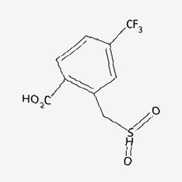 O=C(O)c1ccc(C(F)(F)F)cc1C[SH](=O)=O